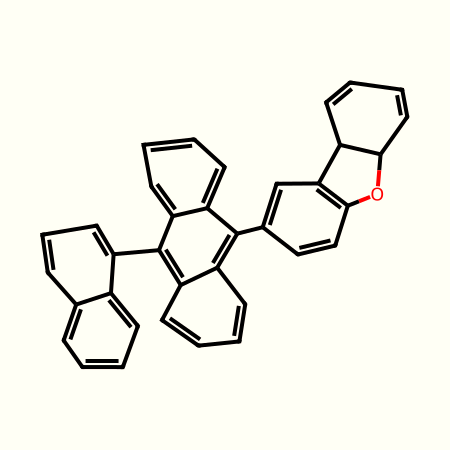 C1=CC2Oc3ccc(-c4c5ccccc5c(-c5cccc6ccccc56)c5ccccc45)cc3C2C=C1